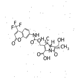 C[C@@H](O)[C@H]1C(=O)N2C(C(=O)O)=C(COC(=O)Nc3ccc4c(C(F)(F)F)cc(=O)oc4c3)[C@H](C)[C@H]12